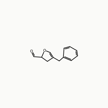 O=CC1CC(Cc2ccccc2)=CO1